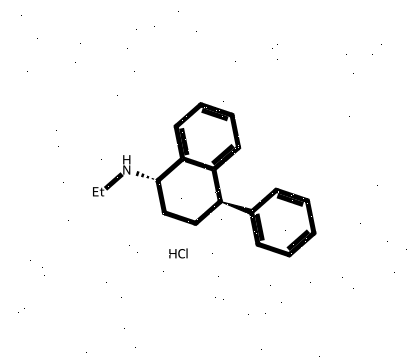 CCN[C@H]1CC[C@H](c2ccccc2)c2ccccc21.Cl